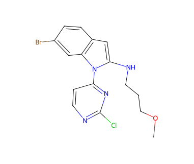 COCCCNc1cc2ccc(Br)cc2n1-c1ccnc(Cl)n1